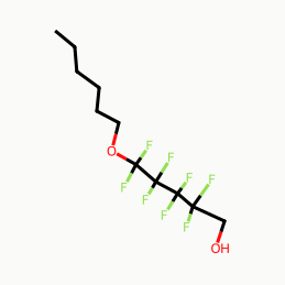 CCCCCCOC(F)(F)C(F)(F)C(F)(F)C(F)(F)CO